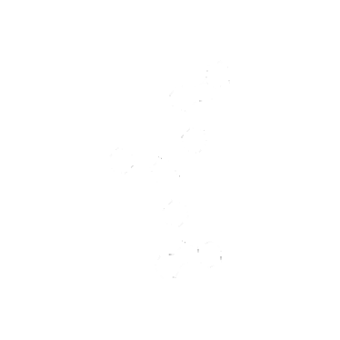 c1ccc(-c2cc(-c3ccc(-n4c5ccccc5c5ccccc54)cc3)nc(-c3cccc(-c4cccc5c4sc4ccccc45)c3)n2)cc1